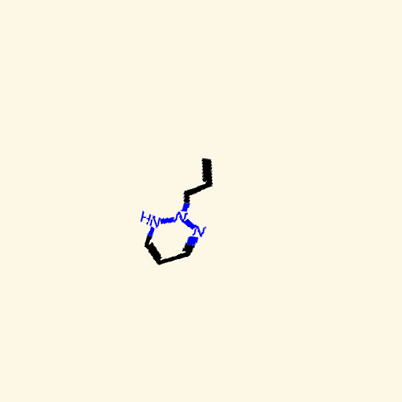 C=CCN1N=CC=CN1